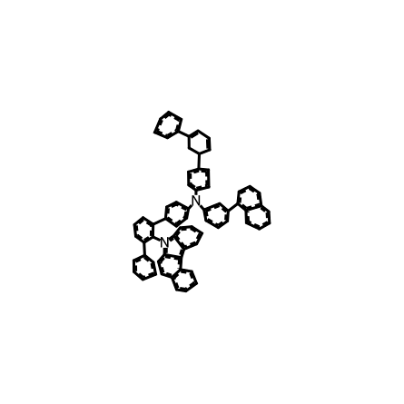 C1=CC(c2ccc(N(c3ccc(-c4cccc(-c5ccccc5)c4-n4c5ccccc5c5c6ccccc6ccc54)cc3)c3cccc(-c4cccc5ccccc45)c3)cc2)CC(c2ccccc2)=C1